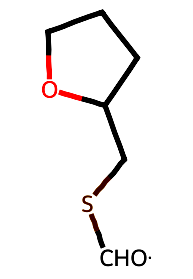 O=[C]SCC1CCCO1